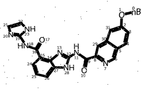 CCCCOc1ccc2cnc(C(=O)Nc3nc4c(C(=O)Nc5ncc[nH]5)cccc4[nH]3)cc2c1